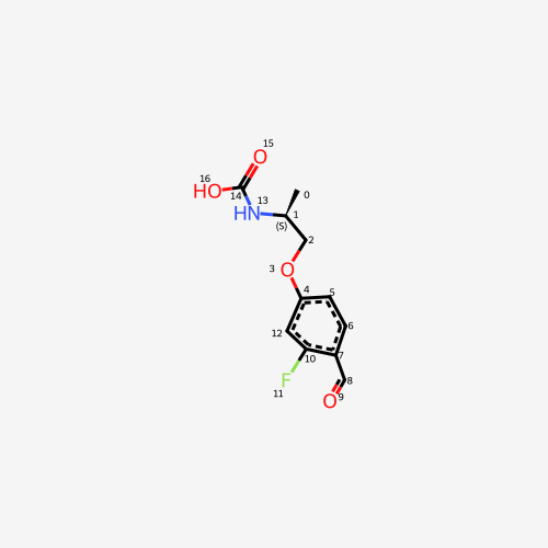 C[C@@H](COc1ccc(C=O)c(F)c1)NC(=O)O